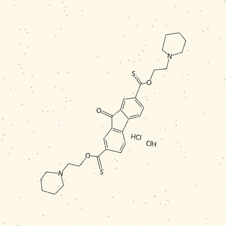 Cl.Cl.O=C1c2cc(C(=S)OCCN3CCCCC3)ccc2-c2ccc(C(=S)OCCN3CCCCC3)cc21